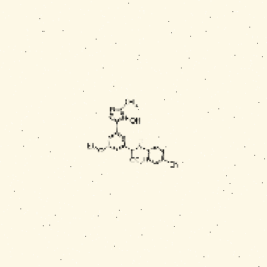 CCOc1cc(-c2cnc(C)n2O)cc(C(Nc2ccc(C#N)cc2)C(=O)O)c1